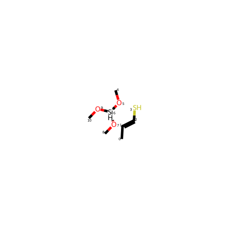 CC=CS.CO[SiH](OC)OC